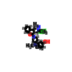 CNC[C@@H](C(=O)N1CCC(c2cccc(O)c2)(N(C)C)CC1)[C@@H](C)c1ccccc1.Cl.Cl